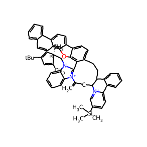 C=C1CC2C(CCc3ccc4c(oc5c4ccc4c6ccccc6ccc45)c3-c3n(C[C@]4(C)C=C(C(C)(C)C)C=C4C)c4ccccc4[n+]31)c1ccccc1-c1ccc([Si](C)(C)C)c[n+]12